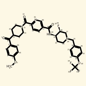 COc1ccc(C(=O)C2CCN(C(=O)c3ccc(C(=O)N[C@@H]4CCN(Cc5ccc(OC(F)(F)F)cc5)C[C@@H]4F)cn3)CC2)cc1